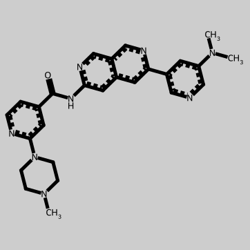 CN1CCN(c2cc(C(=O)Nc3cc4cc(-c5cncc(N(C)C)c5)ncc4cn3)ccn2)CC1